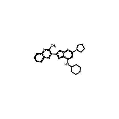 Cc1nc2ccccc2nc1-c1cn2nc(N3CCCC3)cc(NC3CCOCC3)c2n1